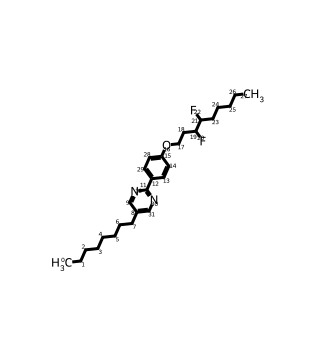 CCCCCCCCc1cnc(-c2ccc(OCCC(F)C(F)CCCCC)cc2)nc1